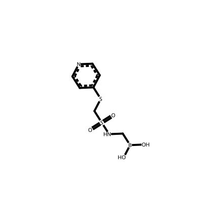 O=S(=O)(CSc1ccncc1)NCB(O)O